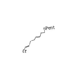 [CH2]CC=CCCC=CCCCCCCC